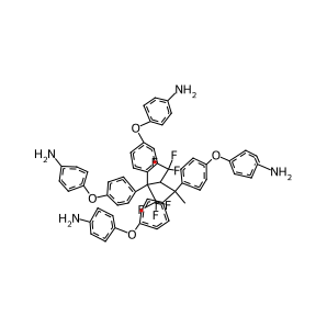 CC(c1ccc(Oc2ccc(N)cc2)cc1)(c1ccc(Oc2ccc(N)cc2)cc1)C(C(F)(F)F)C(c1ccc(Oc2ccc(N)cc2)cc1)(c1ccc(Oc2ccc(N)cc2)cc1)C(F)(F)F